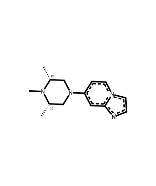 C[C@@H]1CN(c2ccn3ccnc3c2)C[C@H](C)N1C